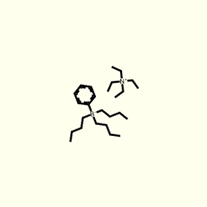 CCCC[B-](CCCC)(CCCC)c1ccccc1.CC[N+](CC)(CC)CC